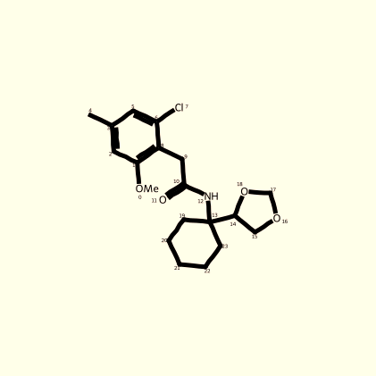 COc1cc(C)cc(Cl)c1CC(=O)NC1(C2COCO2)CCCCC1